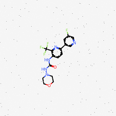 O=C(Nc1ccc(-c2cncc(F)c2)nc1C(F)(F)F)NN1CCOCC1